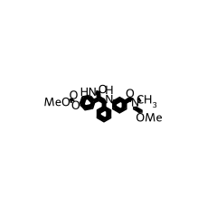 COCCN(C)C(=O)c1cccc(N/C(=C2\C(=O)Nc3cc(OC(=O)OC)ccc32)c2ccccc2)c1